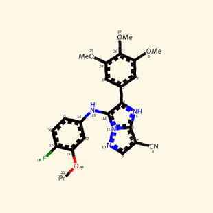 COc1cc(-c2[nH]c3c(C#N)cnn3c2Nc2ccc(F)c(OC(C)C)c2)cc(OC)c1OC